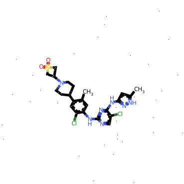 Cc1cc(Nc2nc(Nc3cc(C)c(C4CCN(C5CS(=O)(=O)C5)CC4)cc3Cl)ncc2Cl)n[nH]1